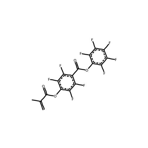 C=C(C)C(=O)Oc1c(F)c(F)c(C(=O)Oc2c(F)c(F)c(F)c(F)c2F)c(F)c1F